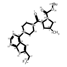 C[C@H]1C[C@@H](C(=O)N2CCN(c3ncnc4sc(CC(F)(F)F)cc34)CC2)N(C(=O)OC(C)(C)C)C1